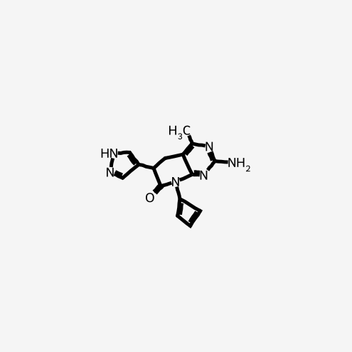 Cc1nc(N)nc2c1CC(c1cn[nH]c1)C(=O)N2C1=CC=C1